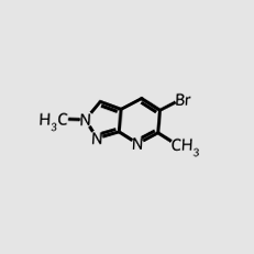 Cc1nc2nn(C)cc2cc1Br